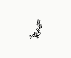 CCN(CC)[C@H]1CC(=O)N(c2nn(C)cc2NC(=O)c2coc(-c3ccnc(NCC(F)(F)F)c3)n2)C1